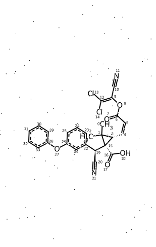 CC1(C)[C@H](/C=C\C(=O)OC(C#N)=C(Cl)Cl)[C@@]1(C(=O)O)[C@@H](C#N)c1cccc(Oc2ccccc2)c1